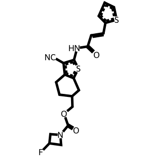 N#Cc1c(NC(=O)C=Cc2cccs2)sc2c1CCC(COC(=O)N1CC(F)C1)C2